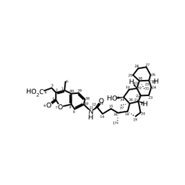 Cc1c(CC(=O)O)c(=O)oc2cc(NC(=O)CC[C@@H](C)[C@H]3CC[C@H]4C5CC[C@@H]6CCCC[C@]6(C)[C@H]5C[C@H](O)[C@]34C)ccc12